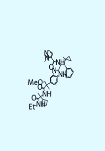 CCNC(=O)C(C)(NC(=O)C(C)(COC)c1ccc2[nH]c([C@@H](NC(=O)c3ccnn3C)[C@H](c3ccccc3)C3(C)CC3)nc2c1)C1CCC1